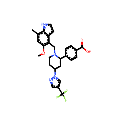 COc1cc(C)c2[nH]ccc2c1CN1CCC(n2cc(C(F)(F)F)cn2)CC1c1ccc(C(=O)O)cc1